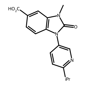 CC(C)c1ccc(-n2c(=O)n(C)c3cc(C(=O)O)ccc32)cn1